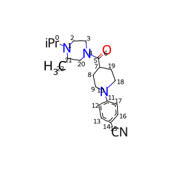 CC(C)N1CCN(C(=O)C2CCN(c3ccc(C#N)cc3)CC2)C[C@@H]1C